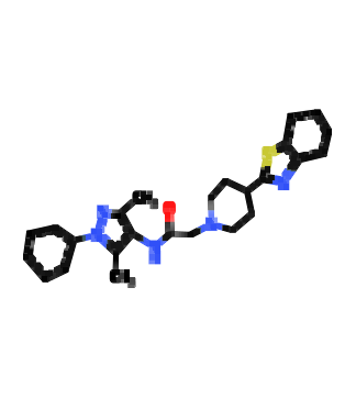 Cc1nn(-c2ccccc2)c(C)c1NC(=O)CN1CCC(c2nc3ccccc3s2)CC1